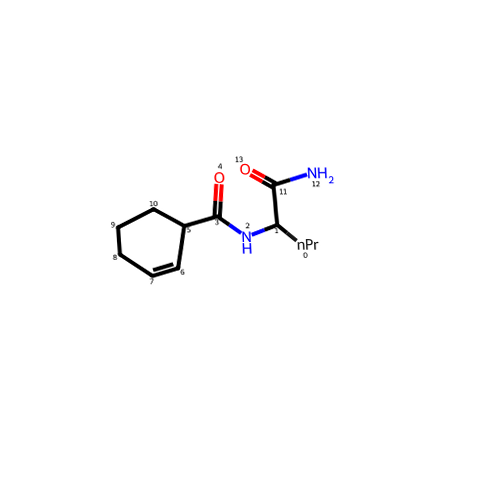 CCCC(NC(=O)C1C=CCCC1)C(N)=O